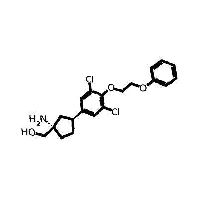 N[C@@]1(CO)CC[C@H](c2cc(Cl)c(OCCOc3ccccc3)c(Cl)c2)C1